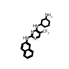 NC1CCCC(Nc2nc(Nc3ccc4ccccc4c3)ncc2C(F)(F)F)C1